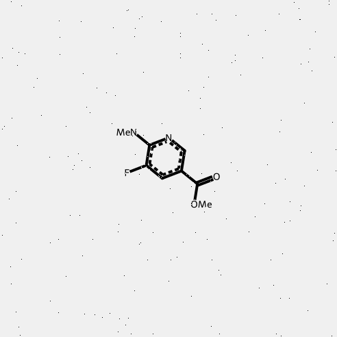 CNc1ncc(C(=O)OC)cc1F